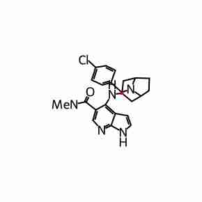 CNC(=O)c1cnc2[nH]ccc2c1NC1CC2CCC(C1)N2Cc1ccc(Cl)cc1